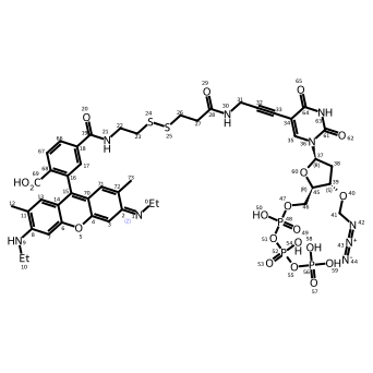 CC/N=c1/cc2oc3cc(NCC)c(C)cc3c(-c3cc(C(=O)NCCSSCCC(=O)NCC#Cc4cn([C@H]5C[C@H](OCN=[N+]=[N-])[C@@H](COP(=O)(O)OP(=O)(O)OP(=O)(O)O)O5)c(=O)[nH]c4=O)ccc3C(=O)O)c-2cc1C